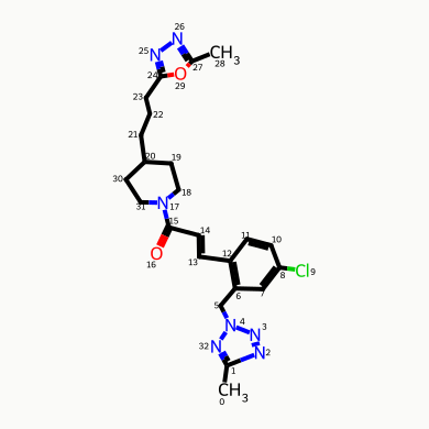 Cc1nnn(Cc2cc(Cl)ccc2C=CC(=O)N2CCC(CCCc3nnc(C)o3)CC2)n1